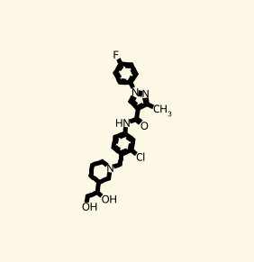 Cc1nn(-c2ccc(F)cc2)cc1C(=O)Nc1ccc(CN2CCCC(C(O)CO)C2)c(Cl)c1